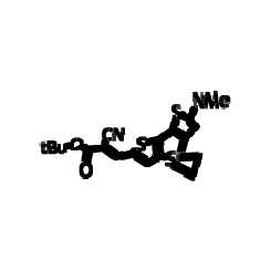 CNc1cc2c(s1)-c1sc(/C=C(\C#N)C(=O)OC(C)(C)C)cc1[Si]21CCC1